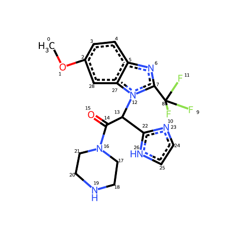 COc1ccc2nc(C(F)(F)F)n(C(C(=O)N3CCNCC3)c3ncc[nH]3)c2c1